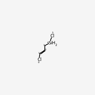 Cl/C=C/C[SiH2]Cl